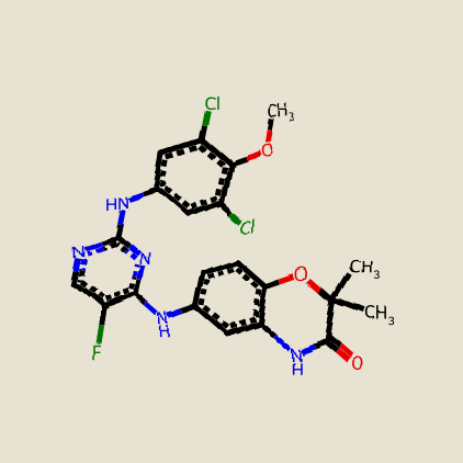 COc1c(Cl)cc(Nc2ncc(F)c(Nc3ccc4c(c3)NC(=O)C(C)(C)O4)n2)cc1Cl